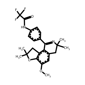 COc1cc2c(c3c1OC(C)(C)C3)C(c1ccc(NC(=O)C(F)(F)F)cc1)=NC(C)(C)C2